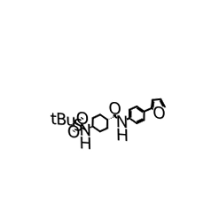 CC(C)(C)S(=O)(=O)N[C@H]1CC[C@H](C(=O)Nc2ccc(-c3ccco3)cc2)CC1